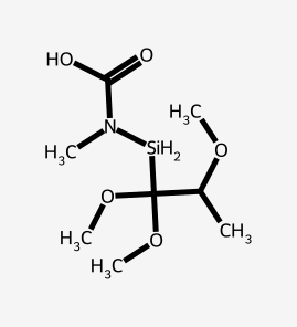 COC(C)C(OC)(OC)[SiH2]N(C)C(=O)O